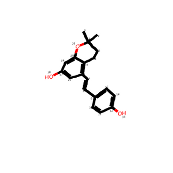 CC1(C)CCc2c(/C=C/c3ccc(O)cc3)cc(O)cc2O1